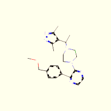 COCc1ccc(-c2nccnc2N2CCN(C(C)c3c(C)n[nH]c3C)CC2)cc1.Cl